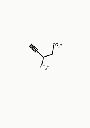 C#CC(CC(=O)O)C(=O)O